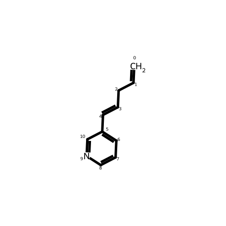 C=CCC=Cc1cccnc1